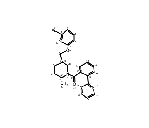 CC(C)c1cccc(OC[C@@H]2CC[C@@H](C)N(C(=O)c3ccccc3-c3ncccn3)C2)n1